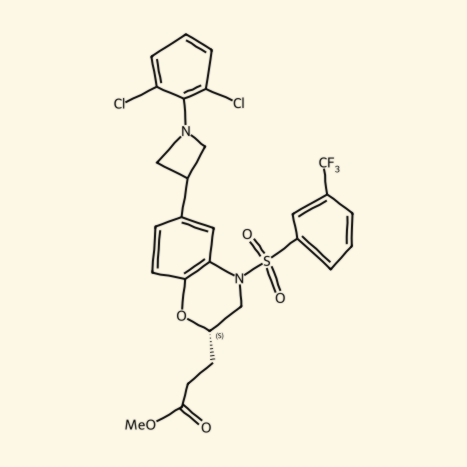 COC(=O)CC[C@H]1CN(S(=O)(=O)c2cccc(C(F)(F)F)c2)c2cc(C3CN(c4c(Cl)cccc4Cl)C3)ccc2O1